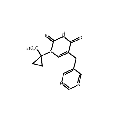 CCOC(=O)C1(n2cc(Cc3cncnc3)c(=O)[nH]c2=S)CC1